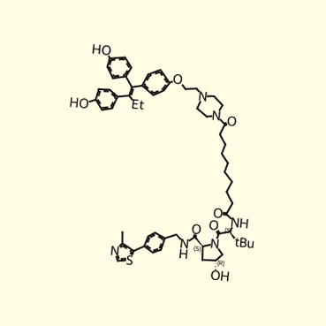 CCC(=C(c1ccc(O)cc1)c1ccc(OCCN2CCN(C(=O)CCCCCCCCC(=O)N[C@H](C(=O)N3C[C@H](O)C[C@H]3C(=O)NCc3ccc(-c4scnc4C)cc3)C(C)(C)C)CC2)cc1)c1ccc(O)cc1